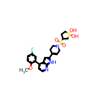 COc1ccc(F)cc1-c1ccnc2[nH]c(C3=CCN(S(=O)(=O)C4CCS(O)(O)C4)CC3)cc12